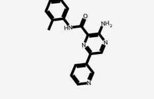 Cc1ccccc1NC(=O)c1nc(-c2cccnc2)cnc1N